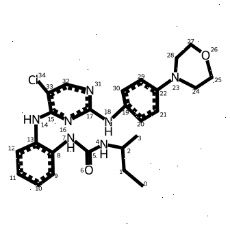 CCC(C)NC(=O)Nc1ccccc1Nc1nc(Nc2ccc(N3CCOCC3)cc2)ncc1Cl